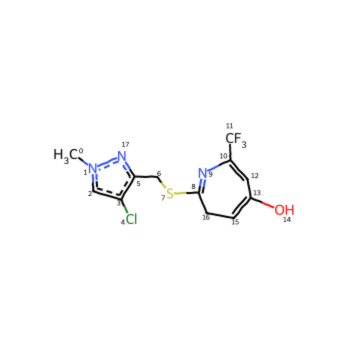 Cn1cc(Cl)c(CSC2=NC(C(F)(F)F)=CC(O)=CC2)n1